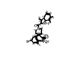 CC1=C(C)C2NC(C(=O)N3CCC4(CC3)C(=O)Nc3ccc(Br)cc34)=C(C)C2C=C1